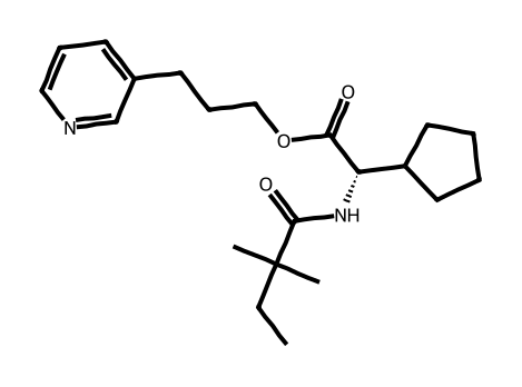 CCC(C)(C)C(=O)N[C@H](C(=O)OCCCc1cccnc1)C1CCCC1